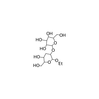 CCOC1OC(CO)C(O)CC1OC1OC(CO)C(O)C(O)C1O